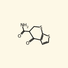 NC(=O)C1CSc2sccc2C1=O